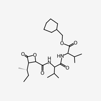 CC[C@H](C)C1C(=O)OC1C(=O)NC(C(=O)NC(C(=O)OCC1CCCCC1)C(C)C)C(C)C